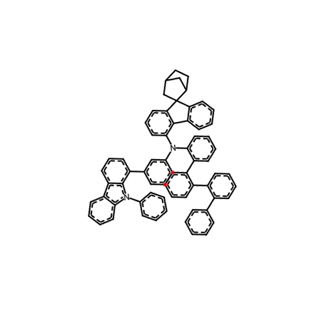 c1ccc(-c2ccccc2-c2ccccc2-c2ccccc2N(c2cccc(-c3cccc4c5ccccc5n(-c5ccccc5)c34)c2)c2cccc3c2-c2ccccc2C32CC3CCC2C3)cc1